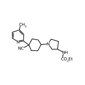 CCOC(=O)NC1CCN(C2CCC(C#N)(c3cc(C)ccn3)CC2)C1